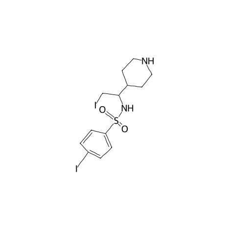 O=S(=O)(NC(CI)C1CCNCC1)c1ccc(I)cc1